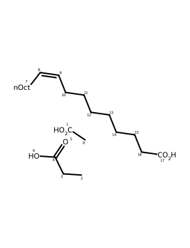 CC(=O)O.CCC(=O)O.CCCCCCCC/C=C\CCCCCCCC(=O)O